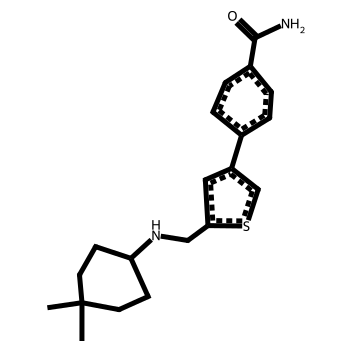 CC1(C)CCC(NCc2cc(-c3ccc(C(N)=O)cc3)cs2)CC1